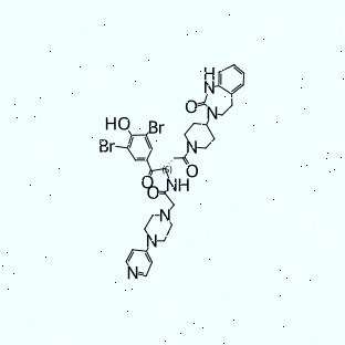 O=C(CN1CCN(c2ccncc2)CC1)N[C@@H](CC(=O)N1CCC(N2CCc3ccccc3NC2=O)CC1)C(=O)c1cc(Br)c(O)c(Br)c1